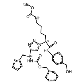 CC(C)(C)OC(=O)NCCCC[C@@H](C(=O)Nc1ccc(CO)cc1)n1cc([C@H](Cc2cccs2)NC(=O)OCc2ccccc2)nn1